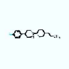 CCC[C@H]1CC[C@H]([Si@H]2CC[C@H](c3ccc(F)cc3)CC2)CC1